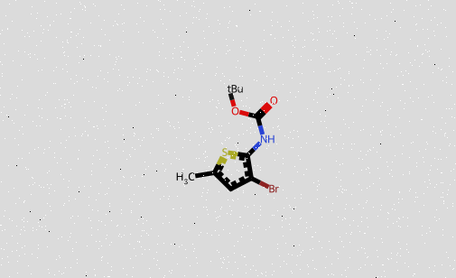 Cc1cc(Br)c(NC(=O)OC(C)(C)C)s1